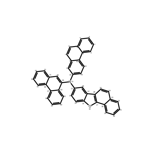 c1ccc2c(c1)ccc1cc(N(c3ccc4oc5c6ccccc6ccc5c4c3)c3cc4ccccc4c4ccccc34)ccc12